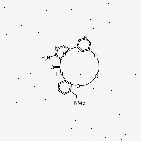 CNCc1cccc2c1OCCOCCOc1cncc(c1)-c1cnc(N)c(n1)C(=O)N2